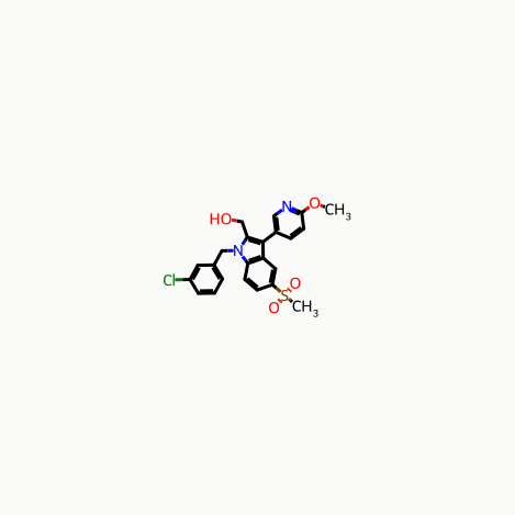 COc1ccc(-c2c(CO)n(Cc3cccc(Cl)c3)c3ccc(S(C)(=O)=O)cc23)cn1